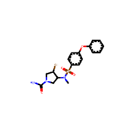 CN(C1CN(C(N)=O)CC1S)S(=O)(=O)c1ccc(Oc2ccccc2)cc1